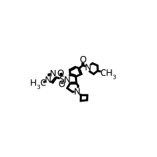 CC1CCN(C(=O)c2ccc3c(c2)c2c(n3S(=O)(=O)c3cn(C)cn3)CCN(C3CCC3)C2)CC1